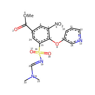 COC(=O)c1cc([N+](=O)[O-])c(Oc2cccnc2)c(S(=O)(=O)N=CN(C)C)c1